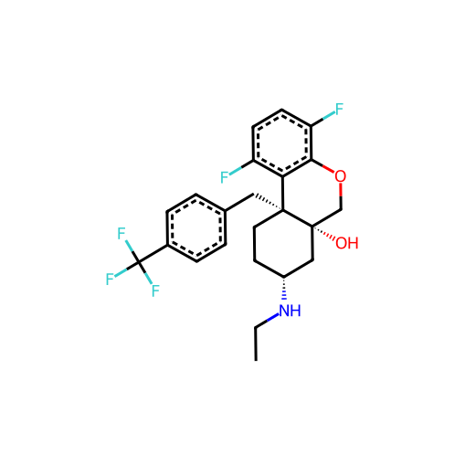 CCN[C@@H]1CC[C@@]2(Cc3ccc(C(F)(F)F)cc3)c3c(F)ccc(F)c3OC[C@@]2(O)C1